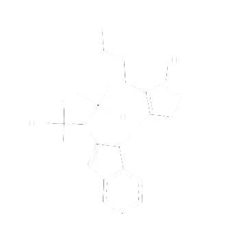 CCCCC1=[C]([Ti+2][CH]2C(P(C(C)(C)C)C(C)(C)C)=Cc3ccccc32)CC=C1C.[Cl-].[Cl-]